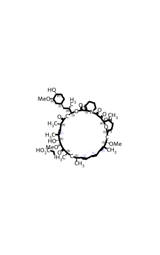 CO[C@H]1C[C@@H]2CC[C@@H](C)[C@@](O)(O2)C(=O)C(=O)N2CCCC[C@H]2C(=O)O[C@H]([C@H](C)C[C@@H]2CC[C@@H](O)[C@H](OC)C2)CC(=O)[C@H](C)/C=C(\C)[C@@H](O)[C@@H](OC)C(=O)[C@H](C)C[C@H](C)/C=C/C=C/C=C/1C.O=C(O)CI